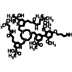 COc1cc(OCCCN)cc(OC)c1-c1cc(CN2CCN(Cc3cc(CCC(=O)NCCN(C)C)cc(P(C)(=O)O)n3)CCN(Cc3cc(CCC(=O)NCC[N+](C)(C)C)cc(P(C)(=O)O)n3)CC2)nc(P(C)(=O)O)c1